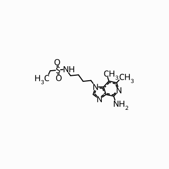 CCS(=O)(=O)NCCCCn1cnc2c(N)nc(C)c(C)c21